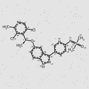 Cc1ncc(Cl)c([C@H](C)Oc2ccc3[nH]nc(-c4ccc(N=S(C)(C)=O)nc4)c3c2)c1Cl